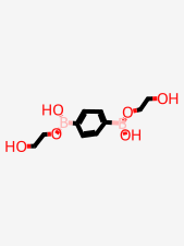 OCCOB(O)c1ccc(B(O)OCCO)cc1